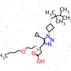 CCCCOCCC[C@@H](CC(=O)O)c1nnn([C@H]2C[C@@H](CC(C)(C)C(C)C)C2)c1C1CC1